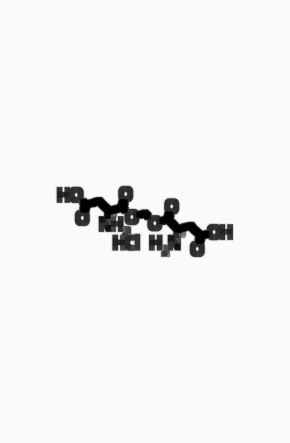 Cl.N[C@@H](CC(=O)O)C(=O)OCOC(=O)[C@@H](N)CC(=O)O